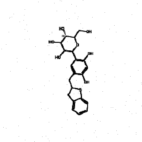 OCC1OC(c2cc(CC3Cc4ccccc4S3)c(O)cc2O)C(O)C(O)[C@@H]1O